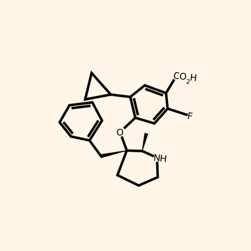 C[C@H]1NCCC[C@]1(Cc1ccccc1)Oc1cc(F)c(C(=O)O)cc1C1CC1